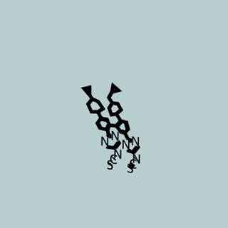 S=C=Nc1cnc(-c2ccc(C3CCC(CC4CC4)CC3)c(-c3cc(C4CCC(C5CC5)CC4)ccc3-c3ncc(N=C=S)cn3)c2)nc1